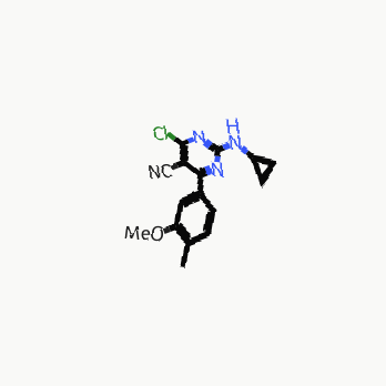 COc1cc(-c2nc(NC3CC3)nc(Cl)c2C#N)ccc1C